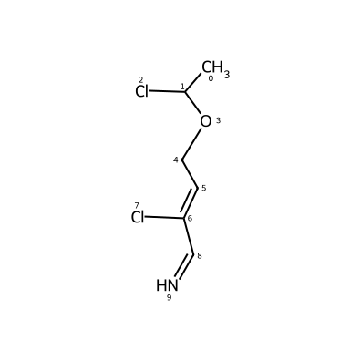 CC(Cl)OC/C=C(\Cl)C=N